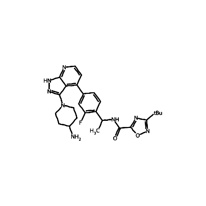 CC(NC(=O)c1nc(C(C)(C)C)no1)c1ccc(-c2ccnc3[nH]nc(N4CCC(N)CC4)c23)cc1F